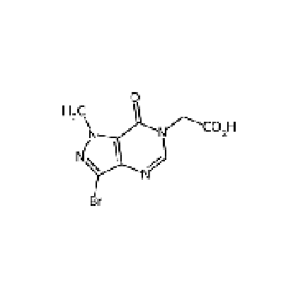 Cn1nc(Br)c2ncn(CC(=O)O)c(=O)c21